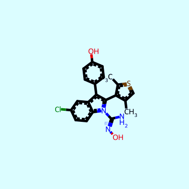 Cc1csc(C)c1-c1c(-c2ccc(O)cc2)c2cc(Cl)ccc2n1/C(N)=N/O